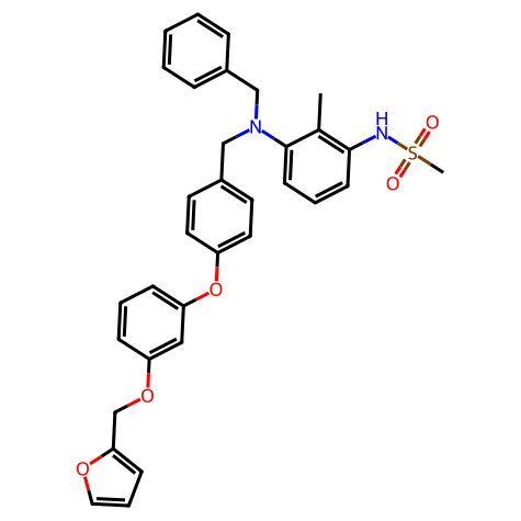 Cc1c(NS(C)(=O)=O)cccc1N(Cc1ccccc1)Cc1ccc(Oc2cccc(OCc3ccco3)c2)cc1